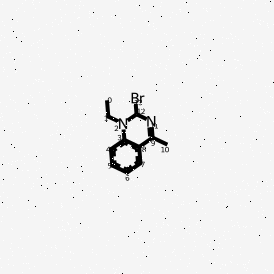 CCN1c2ccccc2C(C)=NC1Br